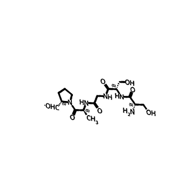 C[C@H](NC(=O)CNC(=O)[C@H](CO)NC(=O)[C@@H](N)CO)C(=O)N1CCC[C@H]1[C]=O